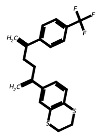 C=C(CCC(=C)c1ccc2c(c1)SCCS2)c1ccc(C(F)(F)F)cc1